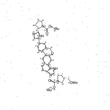 COC[C@H]1C[C@@H](c2nc3ccc4cc5c(cc4c3[nH]2)OCc2cc(-c3cnc([C@@H]4CCCN4C(=O)OC(C)(C)C)[nH]3)ccc2-5)N(C(=O)OC(C)(C)C)C1